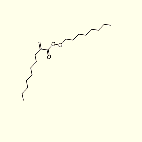 C=C(CCCCCCCC)C(=O)OOCCCCCCCC